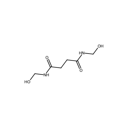 O=C(CCC(=O)NCO)NCO